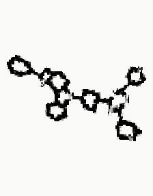 c1ccc(-c2cc3ccc4c(c5ccccc5n4-c4ccc(-c5nc(-c6ccncc6)nc(-c6ccncc6)n5)cc4)c3s2)cc1